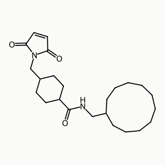 O=C(NCC1CCCCCCCCCC1)C1CCC(CN2C(=O)C=CC2=O)CC1